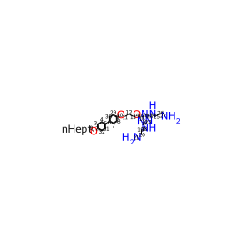 CCCCCCCOc1ccc(-c2ccc(OCCCOc3nc(NCCN)nc(NCCN)n3)cc2)cc1